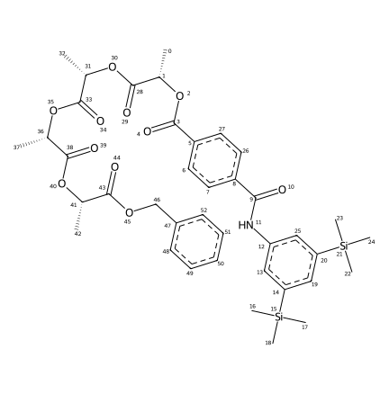 C[C@H](OC(=O)c1ccc(C(=O)Nc2cc([Si](C)(C)C)cc([Si](C)(C)C)c2)cc1)C(=O)O[C@@H](C)C(=O)O[C@@H](C)C(=O)O[C@@H](C)C(=O)OCc1ccccc1